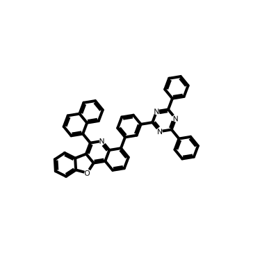 c1ccc(-c2nc(-c3ccccc3)nc(-c3cccc(-c4cccc5c4nc(-c4cccc6ccccc46)c4c6ccccc6oc54)c3)n2)cc1